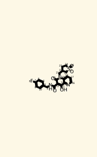 O=C(NCc1ccc(F)cc1)c1c(O)c2ncccc2n(CC2CCS(=O)(=O)C2)c1=O